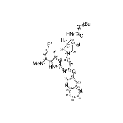 CNc1cc(F)cc2c1[nH]c1nc(Oc3cnc4cccnc4c3)nc(N3C[C@@H]4[C@H](C3)[C@H]4NC(=O)OC(C)(C)C)c12